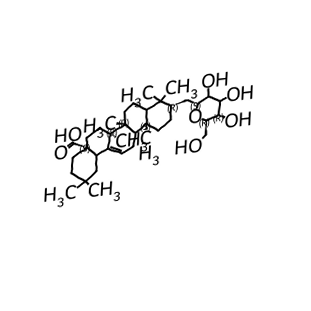 CC1(C)CC[C@]2(C(=O)O)CC[C@]3(C)C(=CCC4[C@@]5(C)CC[C@H](C[C@@H]6O[C@H](CO)[C@H](O)C(O)C6O)C(C)(C)C5CC[C@]43C)C2C1